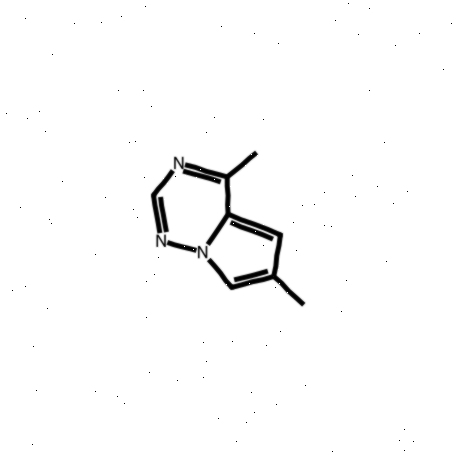 Cc1cc2c(C)ncnn2c1